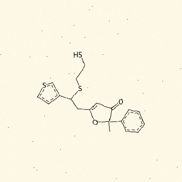 CC1(c2ccccc2)OC(CC(SCCS)c2ccsc2)=CC1=O